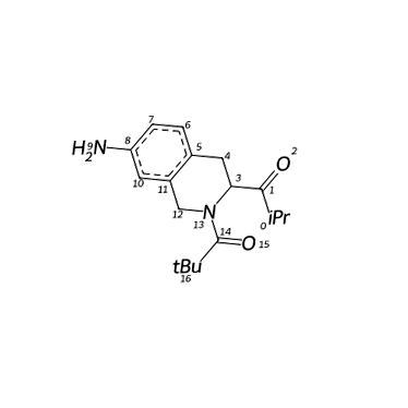 CC(C)C(=O)C1Cc2ccc(N)cc2CN1C(=O)C(C)(C)C